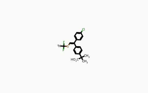 [2H]C(F)(F)SC=C(c1ccc(Cl)cc1)c1ccc(C(C)(C)C(=O)O)cc1